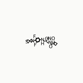 O=NOC(CNC(=O)C1CCC1)CNc1cc(F)c(N2CC3(CSC3)C2)c(F)c1